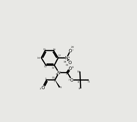 C[C@@H](C=O)N(C(=O)OC(C)(C)C)c1ccccc1[N+](=O)[O-]